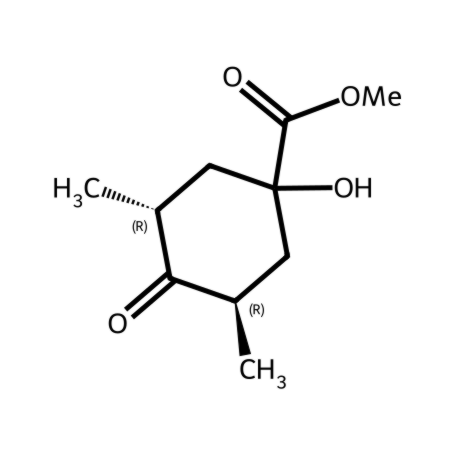 COC(=O)C1(O)C[C@@H](C)C(=O)[C@H](C)C1